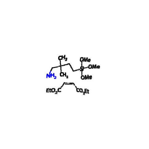 CCOC(=O)/C=C\C(=O)OCC.CO[Si](CCC(C)(C)CN)(OC)OC